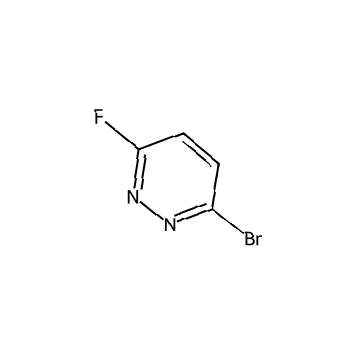 Fc1ccc(Br)nn1